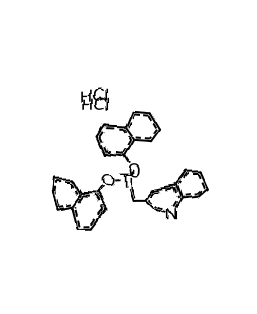 Cl.Cl.[CH](c1cnc2ccccc2c1)=[Ti]([O]c1cccc2ccccc12)[O]c1cccc2ccccc12